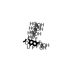 OB(O)O.OB(O)O.OB(O)O.OB(O)O.[Li][c]1c(OC(C)C)c(F)c(F)c2c(F)c(F)c(F)c(F)c12